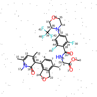 COC(=O)[C@H](Cc1ccc(-c2c(C)cc(C)n(C)c2=O)c2c1COC2)NC(=O)c1c(F)cc(N2CCOC[C@@H]2C(F)(F)F)cc1F